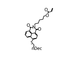 C=CC(=O)OCCCCCN1C(=O)c2cccc3c(SCCCCCCCCCCC)ccc(c23)C1=O